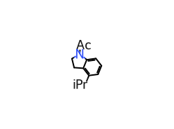 CC(=O)N1CCc2c(C(C)C)cccc21